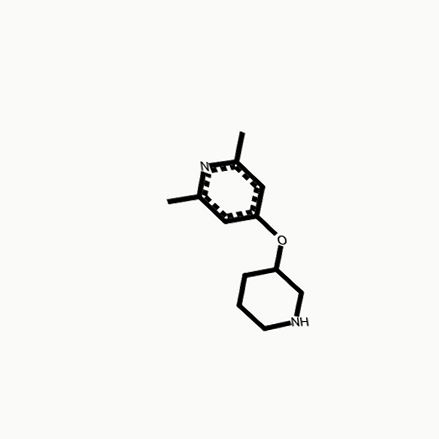 Cc1cc(OC2CCCNC2)cc(C)n1